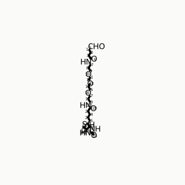 O=CCCCC(=O)NCCCOCCOCCOCCCNC(=O)CCCC[C@@H]1SC[C@@H]2NC(=O)N[C@@H]21